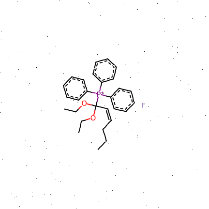 CCC/C=C\C(OCC)(OCC)[P+](c1ccccc1)(c1ccccc1)c1ccccc1.[I-]